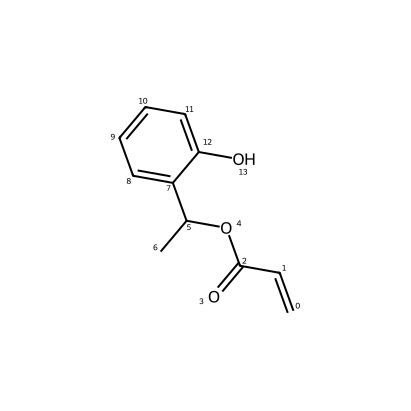 C=CC(=O)OC(C)c1ccccc1O